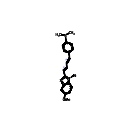 CC[n+]1c(/C=C/C=C/c2ccc(N(C)C)cc2)sc2cc(OC)ccc21